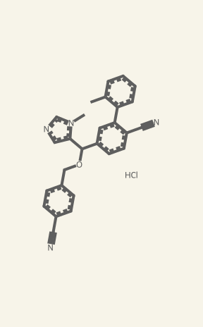 Cc1ccccc1-c1cc(C(OCc2ccc(C#N)cc2)c2cncn2C)ccc1C#N.Cl